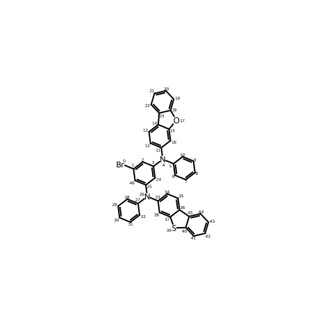 Brc1cc(N(c2ccccc2)c2ccc3c(c2)oc2ccccc23)cc(N(c2ccccc2)c2ccc3c(c2)sc2ccccc23)c1